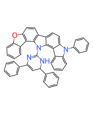 C1=C(c2ccccc2)N=C(n2c3c(ccc4oc5ccccc5c43)c3ccc4c(c5ccccc5n4-c4ccccc4)c32)NC1c1ccccc1